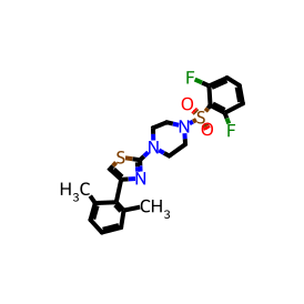 Cc1cccc(C)c1-c1csc(N2CCN(S(=O)(=O)c3c(F)cccc3F)CC2)n1